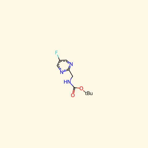 CC(C)(C)OC(=O)NCc1ncc(F)cn1